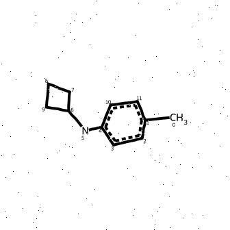 Cc1ccc([N]C2CCC2)cc1